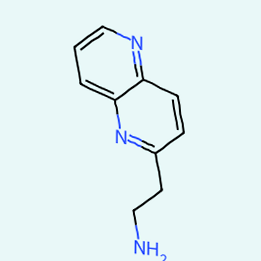 NCCc1ccc2ncccc2n1